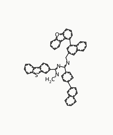 C=N/C(=N\C(=N/Cc1cc(-c2cccc3oc4ccccc4c23)c2ccccc2c1)c1ccc(-c2ccc3ccccc3c2)cc1)c1ccc2c(c1)sc1ccccc12